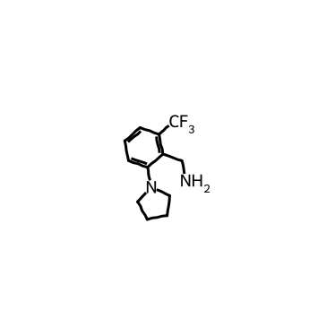 NCc1c(N2CCCC2)cccc1C(F)(F)F